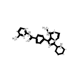 CNc1nccn2c(C3CCCCN3)nc(-c3ccc(C(=O)Nc4nccc(C)n4)cc3)c12